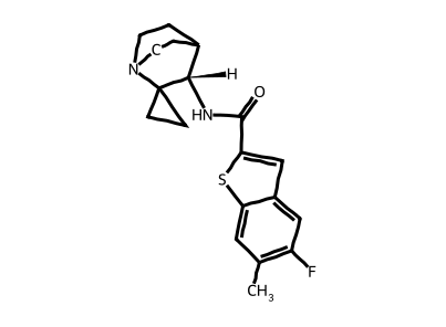 Cc1cc2sc(C(=O)N[C@H]3C4CCN(CC4)C34CC4)cc2cc1F